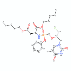 CCCCCOC(=O)C[C@H](NP(=O)(CO[C@H](CF)Cn1cc(C)c(=O)[nH]c1=O)Oc1ccccc1)C(=O)OCCCCC